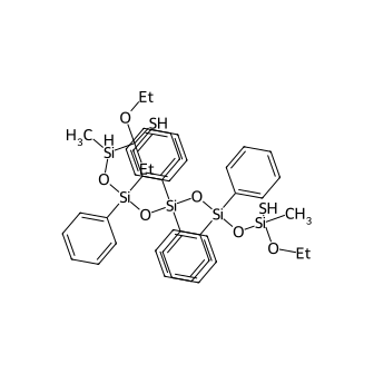 CCOC(S)(CC)[SiH](C)O[Si](O[Si](O[Si](O[Si](C)(S)OCC)(c1ccccc1)c1ccccc1)(c1ccccc1)c1ccccc1)(c1ccccc1)c1ccccc1